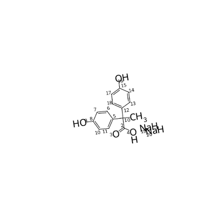 CC(C(=O)O)(c1ccc(O)cc1)c1ccc(O)cc1.[NaH].[NaH]